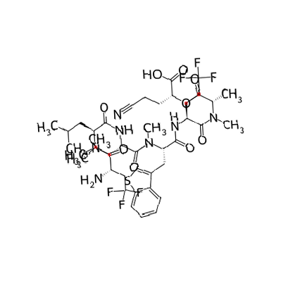 CC(C)C[C@H](NC(=O)[C@H](CC(C)C)N(C)C(=O)[C@@H](N)CC(F)(F)F)C(=O)N(C)[C@@H](Cc1csc2ccccc12)C(=O)N[C@@H](CCC(F)(F)F)C(=O)N(C)[C@@H](C)C(=O)O[C@H](CCC#N)C(=O)O